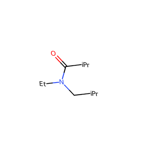 CCN(CC(C)C)C(=O)C(C)C